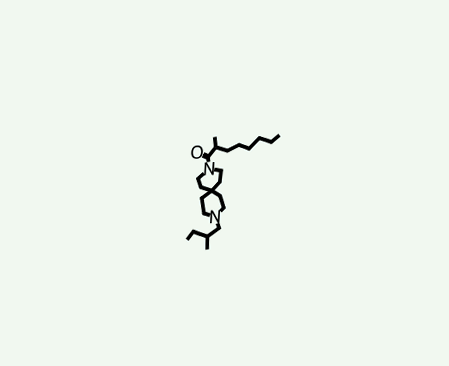 CCCCCCC(C)C(=O)N1CCC2(CCN(CC(C)CC)CC2)CC1